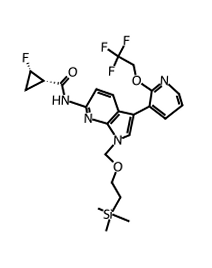 C[Si](C)(C)CCOCn1cc(-c2cccnc2OCC(F)(F)F)c2ccc(NC(=O)[C@@H]3C[C@@H]3F)nc21